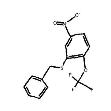 O=[N+]([O-])c1ccc(OC(F)(F)F)c(SCc2ccccc2)c1